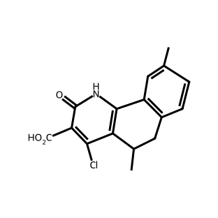 Cc1ccc2c(c1)-c1[nH]c(=O)c(C(=O)O)c(Cl)c1C(C)C2